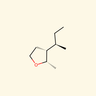 CC[C@@H](C)[C@H]1CCO[C@H]1C